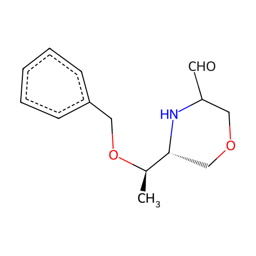 C[C@@H](OCc1ccccc1)[C@H]1COCC(C=O)N1